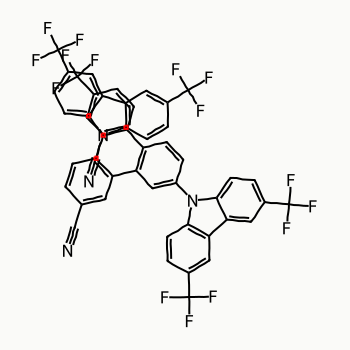 N#Cc1ccc(-n2c3ccc(C(F)(F)F)cc3c3cc(C(F)(F)F)ccc32)c(-c2cc(-n3c4ccc(C(F)(F)F)cc4c4cc(C(F)(F)F)ccc43)ccc2-c2ccc(C(F)(F)F)cc2C#N)c1